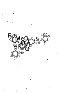 COc1cc(SCc2ccccc2)ccc1NC(=O)[C@H](Cc1ccccc1)NC(=O)c1ccc(F)cc1